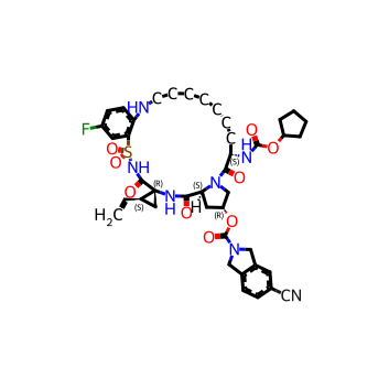 C=C[C@@H]1C[C@@]12NC(=O)[C@@H]1C[C@@H](OC(=O)N3Cc4ccc(C#N)cc4C3)CN1C(=O)[C@@H](NC(=O)OC1CCCC1)CCCCCCCNc1ccc(F)cc1S(=O)(=O)NC2=O